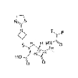 C[C@@H](NC(=O)C(F)F)[C@H]1C(=O)N2C(C(=O)O)=C(SC3CN(C4=NCCS4)C3)[C@H](C)[C@H]12